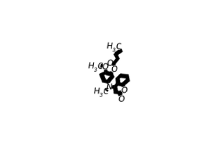 CC=CCC(=O)Oc1cc(N(C)c2cc(=O)oc3ccccc23)ccc1OC